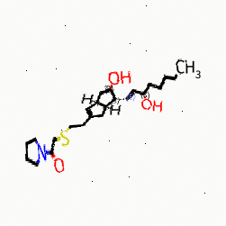 CCCCC[C@H](O)/C=C/[C@@H]1[C@H]2CC(CCSCC(=O)N3CCCC3)=C[C@H]2C[C@H]1O